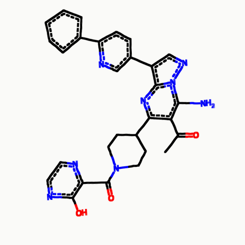 CC(=O)c1c(C2CCN(C(=O)c3nccnc3O)CC2)nc2c(-c3ccc(-c4ccccc4)nc3)cnn2c1N